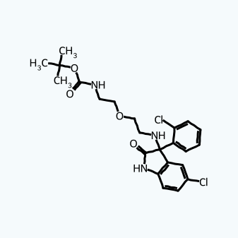 CC(C)(C)OC(=O)NCCOCCNC1(c2ccccc2Cl)C(=O)Nc2ccc(Cl)cc21